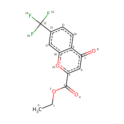 CCOC(=O)c1cc(=O)c2ccc(C(F)(F)F)cc2o1